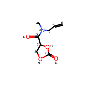 C=CCN(C)C(=O)C1COC(=O)O1